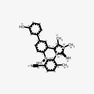 C=Nc1ccc(-c2cccc(O)c2)cc1-c1c(C)n(C)c(=N)n1-c1cc(C#N)ccc1C